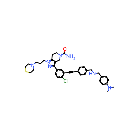 CN(C)c1ccc(CNCc2ccc(C#Cc3cc(-c4nn(CCCN5CCSCC5)c5c4CN(C(N)=O)CC5)ccc3Cl)cc2)cc1